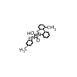 Cc1ccc(NC(=O)Nc2ccccc2-c2c(C)cccc2S(=O)(=O)O)cc1